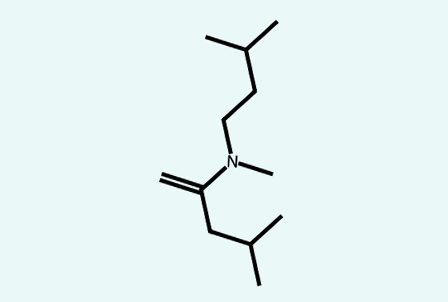 C=C(CC(C)C)N(C)CCC(C)C